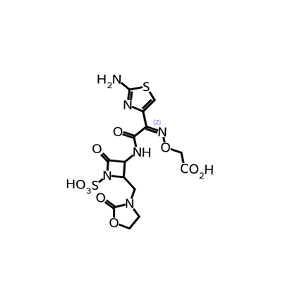 Nc1nc(/C(=N/OCC(=O)O)C(=O)NC2C(=O)N(S(=O)(=O)O)C2CN2CCOC2=O)cs1